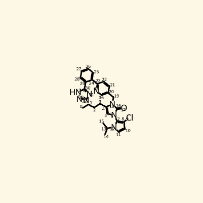 CCCCc1cn(-c2c(Cl)ccn2C(C)C)c(=O)n1Cc1ccc(-c2ccccc2-c2nnn[nH]2)nc1